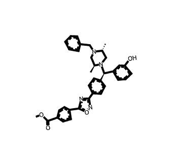 COC(=O)c1ccc(-c2nc(-c3ccc([C@H](c4cccc(O)c4)N4C[C@@H](C)N(Cc5ccccc5)C[C@@H]4C)cc3)no2)cc1